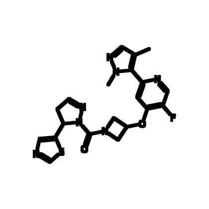 Cc1cnn(C)c1-c1cc(OC2CN(C(=O)N3N=CCC3c3cncs3)C2)c(F)cn1